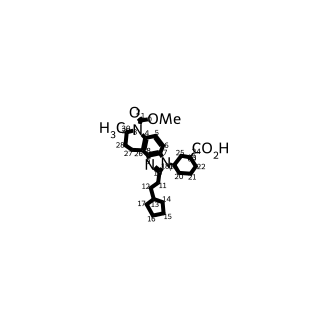 COC(=O)N1c2ccc3c(nc(CCC4CCCC4)n3[C@@H]3CCC[C@@H](C(=O)O)C3)c2CCC1C